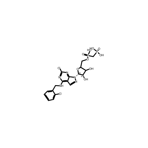 O=P(O)(O)CP(=O)(O)OCC1O[C@@H](n2ncc3c(NCc4ccccc4Cl)nc(Cl)nc32)[C@H](O)C1O